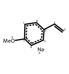 C=Cc1ccc(OC)cc1.[Na]